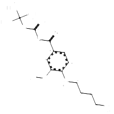 COc1cc(C(=N)NC(=O)OC(C)(C)C)ccc1OCCCCO